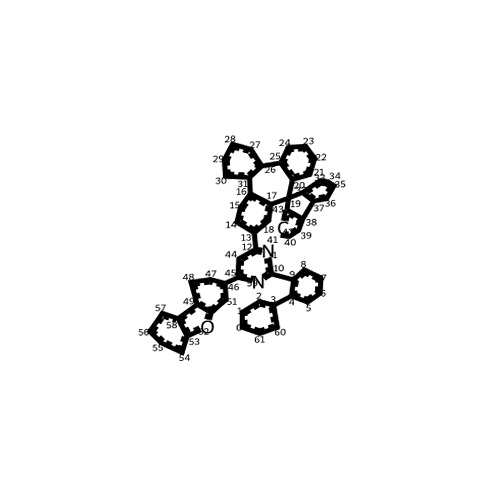 c1ccc(-c2ccccc2-c2nc(-c3ccc4c(c3)C3(c5ccccc5-c5ccccc5-4)c4ccccc4-c4ccccc43)cc(-c3ccc4c(c3)oc3ccccc34)n2)cc1